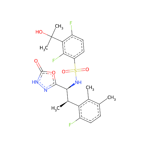 Cc1ccc(F)c([C@@H](C)[C@H](NS(=O)(=O)c2ccc(F)c(C(C)(C)O)c2F)c2n[nH]c(=O)o2)c1C